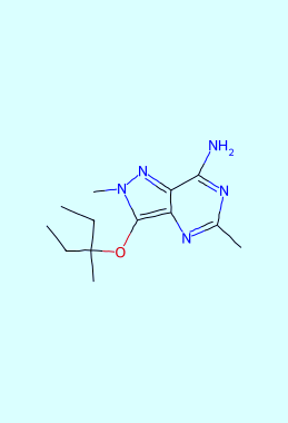 CCC(C)(CC)Oc1c2nc(C)nc(N)c2nn1C